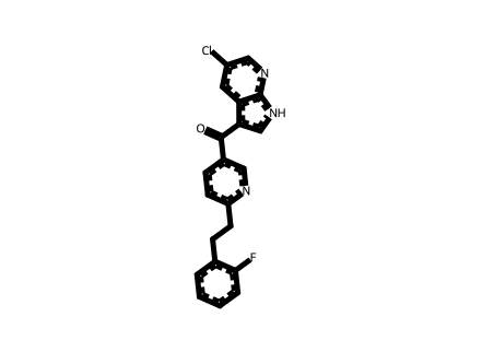 O=C(c1ccc(CCc2ccccc2F)nc1)c1c[nH]c2ncc(Cl)cc12